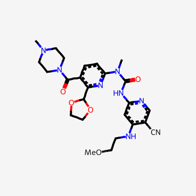 COCCNc1cc(NC(=O)N(C)c2ccc(C(=O)N3CCN(C)CC3)c(C3OCCO3)n2)ncc1C#N